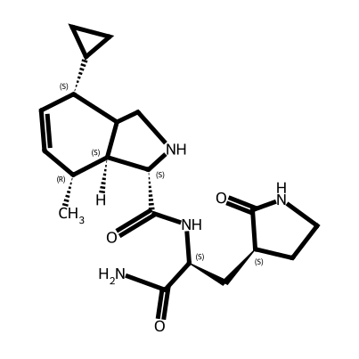 C[C@@H]1C=C[C@H](C2CC2)C2CN[C@H](C(=O)N[C@@H](C[C@@H]3CCNC3=O)C(N)=O)[C@H]21